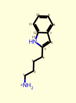 NCCCCc1cc2ccccc2[nH]1